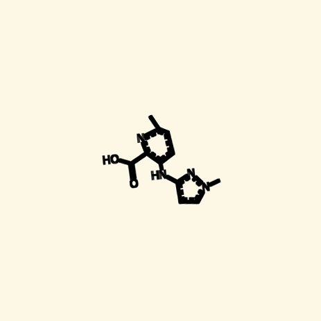 Cc1ccc(Nc2ccn(C)n2)c(C(=O)O)n1